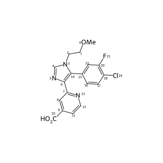 COCCn1cnc(-c2cc(C(=O)O)ccn2)c1-c1ccc(Cl)c(F)c1